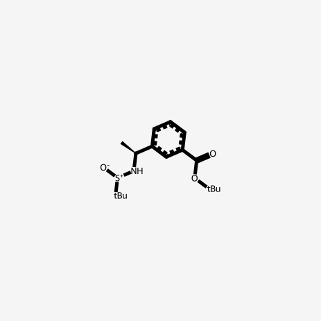 C[C@H](N[S+]([O-])C(C)(C)C)c1cccc(C(=O)OC(C)(C)C)c1